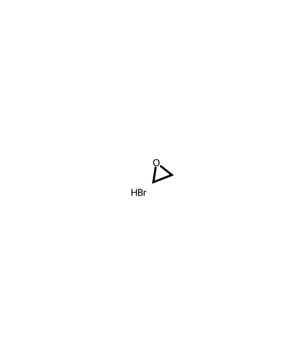 Br.C1CO1